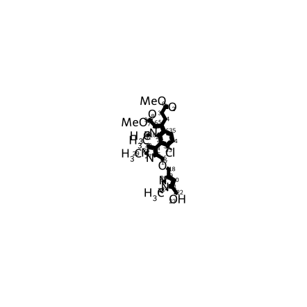 COC(=O)CCc1c(C(=O)OC)n(C)c2c(-c3c(COCc4cc(CO)n(C)n4)nn(C)c3C)c(Cl)ccc12